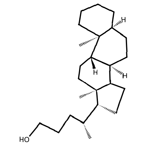 C[C@H](CCCO)[C@H]1CCC2[C@@H]3CC[C@@H]4CCCC[C@]4(C)[C@H]3CC[C@@]21C